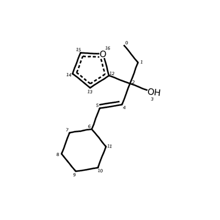 CCC(O)(C=CC1CCCCC1)c1ccco1